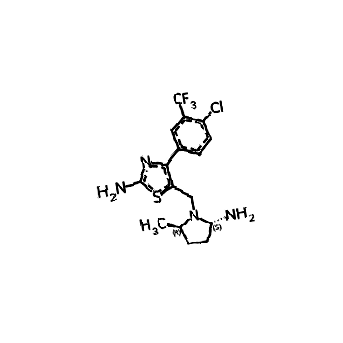 C[C@@H]1CC[C@@H](N)N1Cc1sc(N)nc1-c1ccc(Cl)c(C(F)(F)F)c1